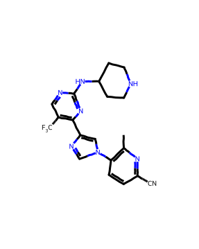 Cc1nc(C#N)ccc1-n1cnc(-c2nc(NC3CCNCC3)ncc2C(F)(F)F)c1